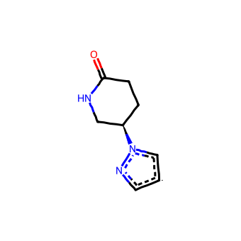 O=C1CC[C@@H](n2c[c]cn2)CN1